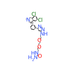 CN1Cc2c(Cl)cc(Cl)cc2[C@H](c2cccc(-c3cc(NCCOCCOCCNC(N)=O)ncn3)c2)C1